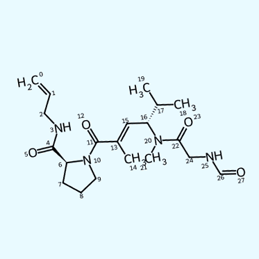 C=CCNC(=O)[C@@H]1CCCN1C(=O)/C(C)=C/[C@H](C(C)C)N(C)C(=O)CNC=O